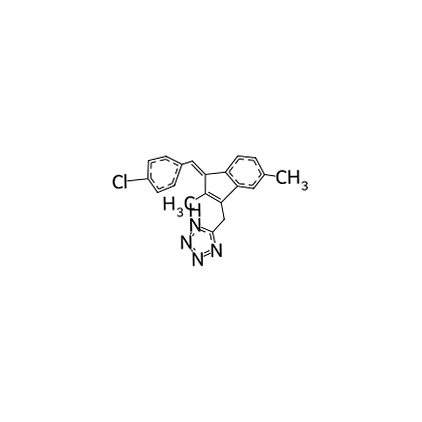 CC1=C(Cc2nnn[nH]2)c2cc(C)ccc2C1=Cc1ccc(Cl)cc1